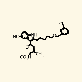 CC(CC(=O)O)CC(=O)c1c(CCCCCOCc2cccc(Cl)c2)[nH]c2ccc(C#N)cc12